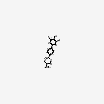 CCCCC1COC(c2ccc(-c3cc(F)c(C)c(F)c3)cc2)OC1